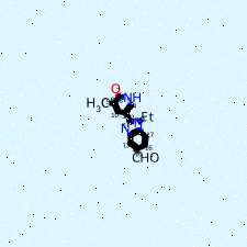 CCn1c(-c2c[nH]c(=O)c(C)c2)nc2cc(C=O)ccc21